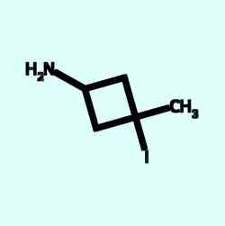 CC1(I)CC(N)C1